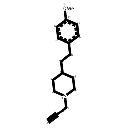 C#CCN1CCC(CCc2ccc(OC)cc2)CC1